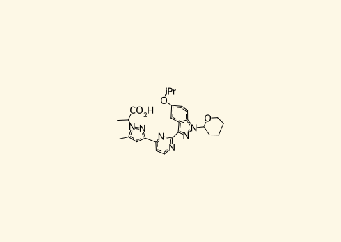 Cc1cc(-c2ccnc(-c3nn(C4CCCCO4)c4ccc(OC(C)C)cc34)n2)nn1C(C)C(=O)O